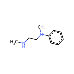 CNCCN(C)c1ccccc1